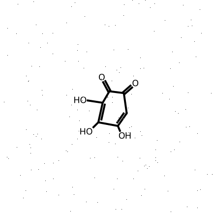 O=C1C=C(O)C(O)=C(O)C1=O